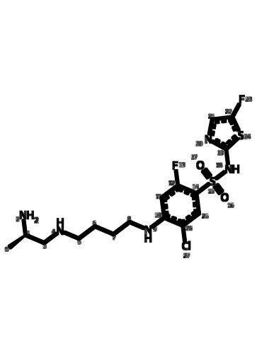 C[C@@H](N)CNCCCCNc1cc(F)c(S(=O)(=O)Nc2ncc(F)s2)cc1Cl